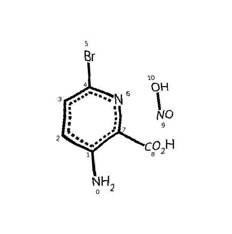 Nc1ccc(Br)nc1C(=O)O.O=NO